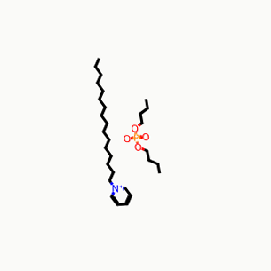 CCCCCCCCCCCCCCCC[n+]1ccccc1.CCCCOP(=O)([O-])OCCCC